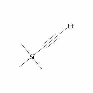 CCC#C[Si](C)(C)C